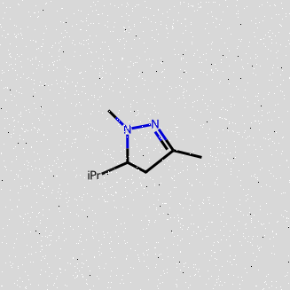 CC1=NN(C)C(C(C)C)C1